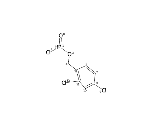 O=[PH](Cl)OCc1ccc(Cl)cc1Cl